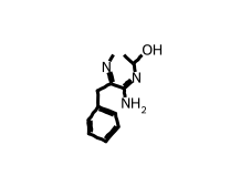 C/N=C(Cc1ccccc1)\C(N)=N/C(C)O